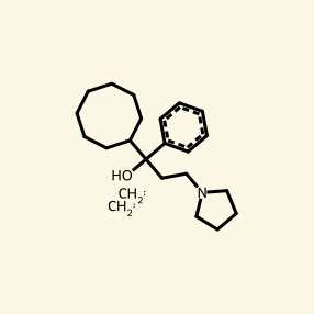 OC(CCN1CCCC1)([C]1CCCCCCC1)c1ccccc1.[CH2].[CH2]